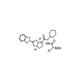 CC[C@H](NC)C(=O)N[C@H](C(=O)N1CC[C@H]2CN(C3Cc4ccccc4C3)C[C@H]21)C1CCCCC1